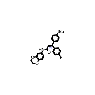 CC(C)(C)c1ccc(/C(=C/C(=O)Nc2ccc3c(c2)OCCO3)c2ccc(F)cc2)cc1